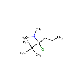 CCC[Si](Cl)(N(C)C)C(C)(C)C